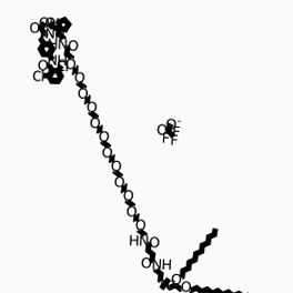 CCCCCCCCCCCCOCC(C[N+](C)(C)CCCNC(=O)CCC(=O)NCCOCCOCCOCCOCCOCCOCCOCCOCCOCCOCCOCCOCCC(=O)NCCC1(C(=O)N[C@@H](Cc2ccc(NC(=O)c3c(Cl)cccc3Cl)cc2)C(=O)O)CCCC1)OCCCCCCCCCCCC.O=C([O-])C(F)(F)F